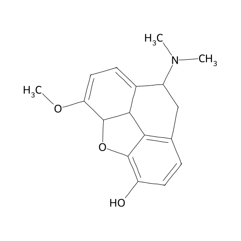 COC1=CC=C2C3c4c(ccc(O)c4OC13)CC2N(C)C